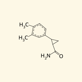 Cc1ccc(C2CC2C(N)=O)cc1C